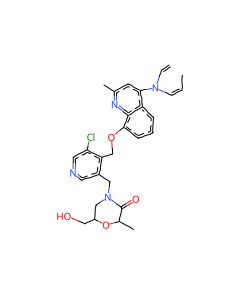 C=CN(/C=C\C)c1cc(C)nc2c(OCc3c(Cl)cncc3CN3CC(CO)OC(C)C3=O)cccc12